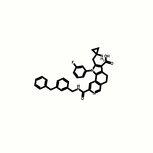 NC1(Cc2c(C(=O)O)c3c(n2-c2cccc(F)c2)-c2cc(C(=O)NCc4cccc(Cc5ccccc5)c4)ncc2CC3)CC1